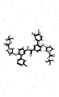 Cc1cccc(-c2cc(NC(=O)c3ccc(O[C@H]4CCN(C(=O)OC(C)(C)C)C4)c(-c4ccc(F)c(F)c4)c3)ccc2O[C@H]2CCN(C(=O)OC(C)(C)C)C2)c1